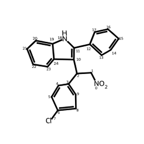 O=[N+]([O-])CC(c1ccc(Cl)cc1)c1c(-c2ccccc2)[nH]c2ccccc12